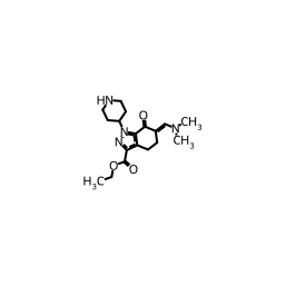 CCOC(=O)c1nn(C2CCNCC2)c2c1CCC(=CN(C)C)C2=O